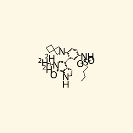 [2H]C([2H])([2H])n1cc(-c2cc(NS(=O)(=O)CCCC)ccc2N2CC3(CCC3)C2)c2cc[nH]c2c1=O